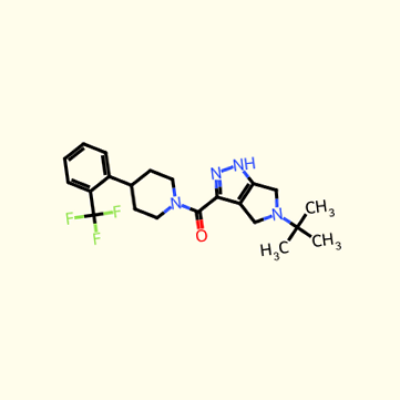 CC(C)(C)N1Cc2[nH]nc(C(=O)N3CCC(c4ccccc4C(F)(F)F)CC3)c2C1